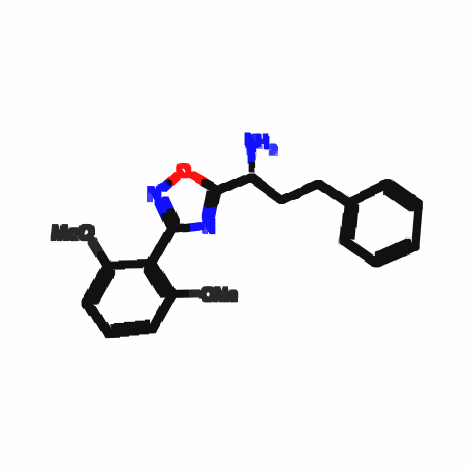 COc1cccc(OC)c1-c1noc([C@H](N)CCc2ccccc2)n1